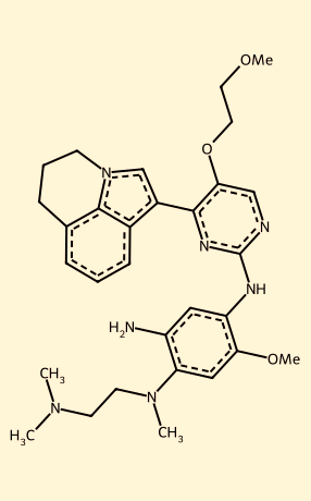 COCCOc1cnc(Nc2cc(N)c(N(C)CCN(C)C)cc2OC)nc1-c1cn2c3c(cccc13)CCC2